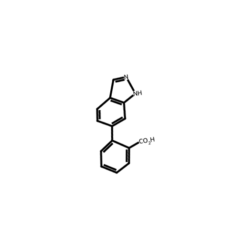 O=C(O)c1ccccc1-c1ccc2cn[nH]c2c1